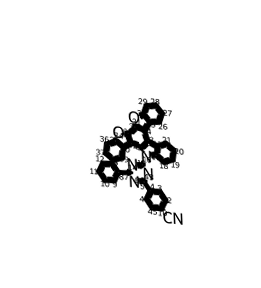 N#Cc1ccc(-c2nc(-c3ccccc3)nc(-n3c4ccccc4c4c5c6ccccc6oc5c5oc6ccccc6c5c43)n2)cc1